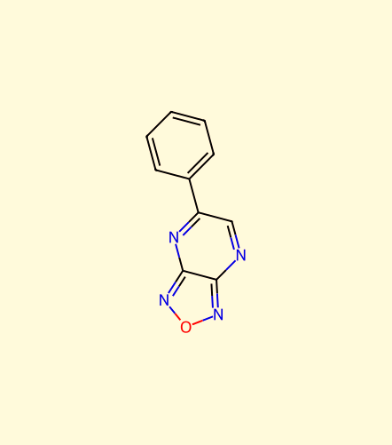 c1ccc(-c2cnc3nonc3n2)cc1